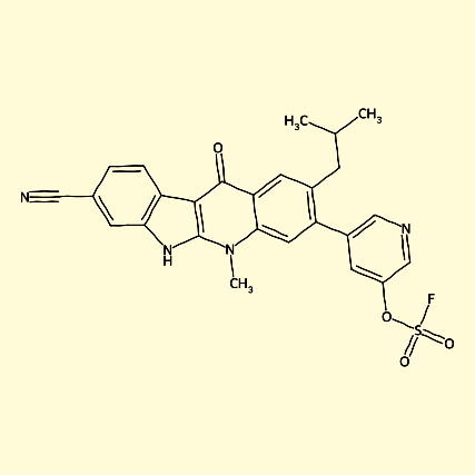 CC(C)Cc1cc2c(=O)c3c4ccc(C#N)cc4[nH]c3n(C)c2cc1-c1cncc(OS(=O)(=O)F)c1